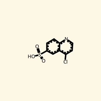 O=S(=O)(O)c1ccc2nccc(Cl)c2c1